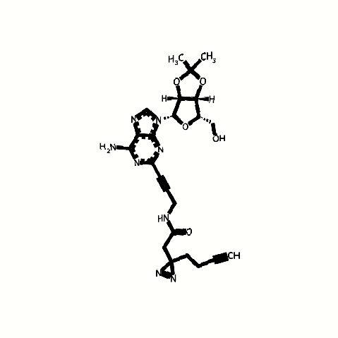 C#CCCC1(CC(=O)NCC#Cc2nc(N)c3ncn([C@H]4O[C@@H](CO)[C@H]5OC(C)(C)O[C@H]54)c3n2)N=N1